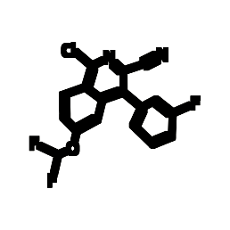 N#Cc1nc(Cl)c2ccc(OC(F)F)cc2c1-c1cccc(F)c1